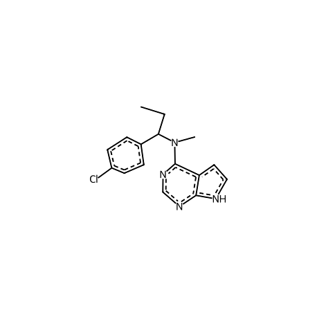 CCC(c1ccc(Cl)cc1)N(C)c1ncnc2[nH]ccc12